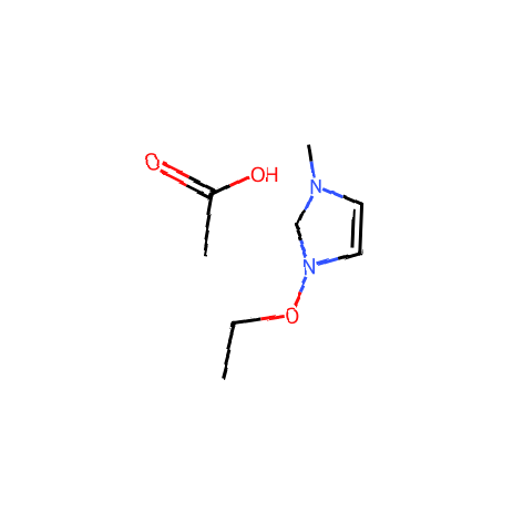 CC(=O)O.CCON1C=CN(C)C1